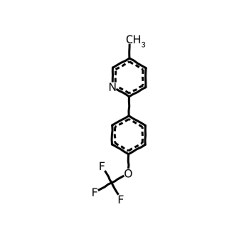 Cc1ccc(-c2ccc(OC(F)(F)F)cc2)nc1